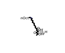 CCCCCCCC/C=C\CCCCCCCC(=O)CC(O)(C(=O)O)C(=O)C(C)O